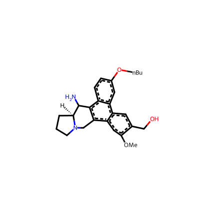 CCCCOc1ccc2c3c(c4cc(OC)c(CO)cc4c2c1)CN1CCC[C@H]1C3N